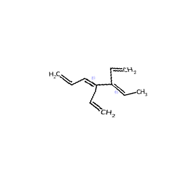 C=C/C=C(C=C)/C(C=C)=C/C